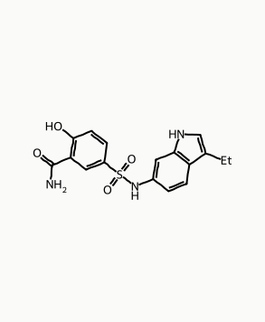 CCc1c[nH]c2cc(NS(=O)(=O)c3ccc(O)c(C(N)=O)c3)ccc12